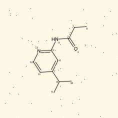 CCC(=O)Nc1cc(C(C)C)ccn1